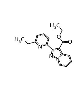 CCOC(=O)c1c(-c2cccc(CC)n2)nn2ccccc12